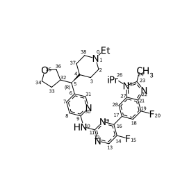 CCN1CCC([C@@H](c2ccc(Nc3ncc(F)c(-c4cc(F)c5nc(C)n(C(C)C)c5c4)n3)nc2)C2CCOC2)CC1